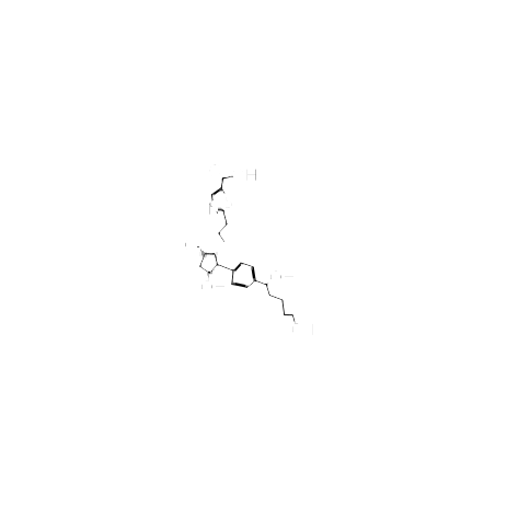 CCCCCC(O)c1ccc(C2[C@H](O)C[C@@H](Cl)[C@@H]2CCCc2ncc(C(=O)O)s2)cc1